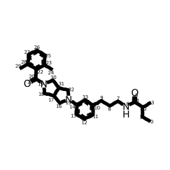 CCC(C)C(=O)NCCCc1cccc(N2CC3CN(C(=O)c4c(C)cccc4C)CC3C2)c1